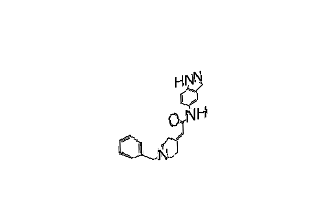 O=C(C=C1CCN(Cc2ccccc2)CC1)Nc1ccc2[nH]ncc2c1